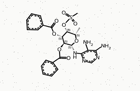 C[C@@H]1O[C@H](Nc2ncnc(N)c2N)[C@@H](OC(=O)c2ccccc2)[C@H](OC(=O)c2ccccc2)[C@@H]1OS(C)(=O)=O